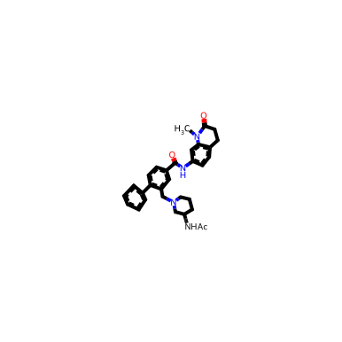 CC(=O)NC1CCCN(Cc2cc(C(=O)Nc3ccc4c(c3)N(C)C(=O)CC4)ccc2-c2ccccc2)C1